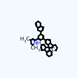 CC1C=C(C2=CC(C3=CC4C(C=C3)C3=C(CCCC3)C43C4=C(CCC=C4)C4C=CC=CC43)=CC(C3C=CC4=C(C=CCC4)C3)C2)NC(C)C1